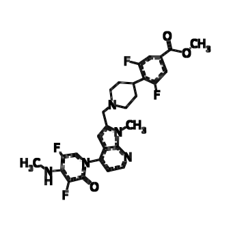 CNc1c(F)cn(-c2ccnc3c2cc(CN2CCC(c4c(F)cc(C(=O)OC)cc4F)CC2)n3C)c(=O)c1F